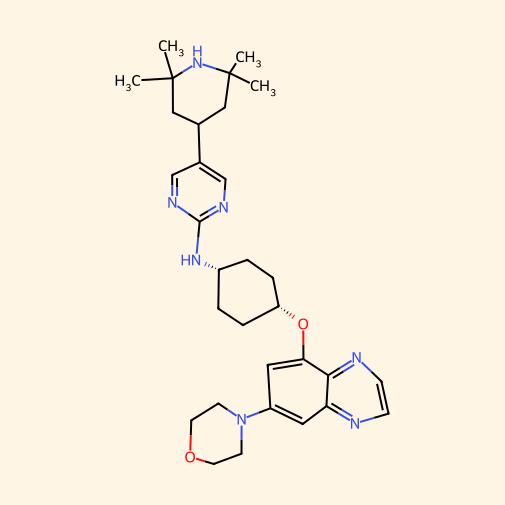 CC1(C)CC(c2cnc(N[C@H]3CC[C@@H](Oc4cc(N5CCOCC5)cc5nccnc45)CC3)nc2)CC(C)(C)N1